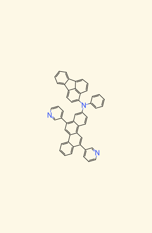 c1ccc(N(c2ccc3c(c2)c(-c2cccnc2)cc2c4ccccc4c(-c4cccnc4)cc32)c2ccc3c4c(cccc24)-c2ccccc2-3)cc1